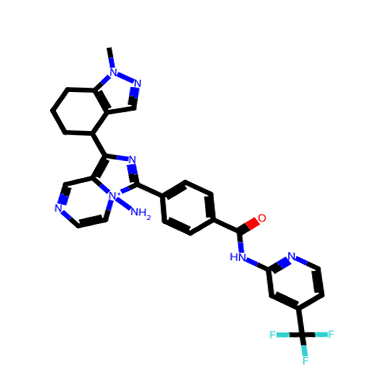 Cn1ncc2c1CCCC2C1=C2C=NC=C[N+]2(N)C(c2ccc(C(=O)Nc3cc(C(F)(F)F)ccn3)cc2)=N1